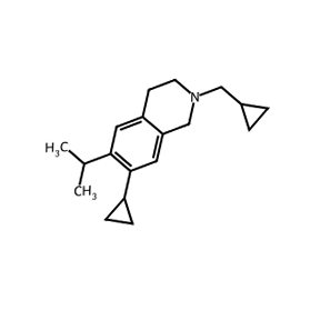 CC(C)c1cc2c(cc1C1CC1)CN(CC1CC1)CC2